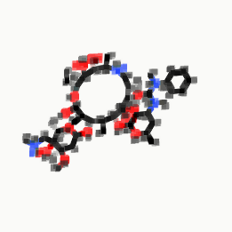 CC[C@H]1OC(=O)[C@H](C)[C@@H](O[C@H]2C[C@@](C)(OC)[C@](O)(CNC)[C@H](C)O2)[C@H](C)[C@@H](O[C@@H]2O[C@H](C)C[C@H](N(C)C(=O)N(C)c3ccccc3)[C@H]2O)[C@](C)(O)C[C@@H](C)CN[C@H](C)[C@@H](O)[C@]1(C)O